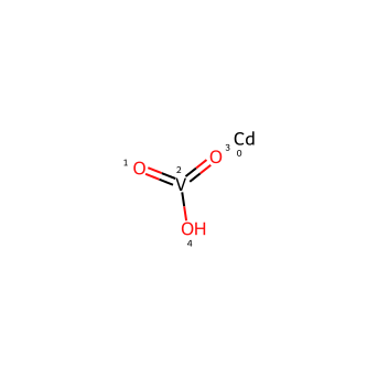 [Cd].[O]=[V](=[O])[OH]